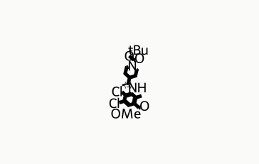 COC(=O)c1cc(Cl)c(Cl)c(N[C@@H](C)C2CCN(C(=O)OC(C)(C)C)CC2)c1C